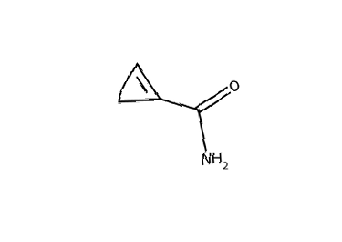 NC(=O)C1=CC1